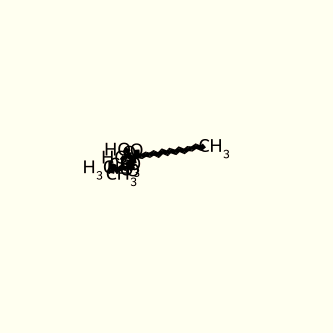 CCCCCCCCCCCCCCCCC(=O)C(OP(=O)([O-])OCC[N+](C)(C)C)[C@H](CO)OO